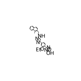 CCOc1cc(-c2cc(NCCc3ccc4ccccc4c3C)ncn2)ccc1-c1noc(O)n1